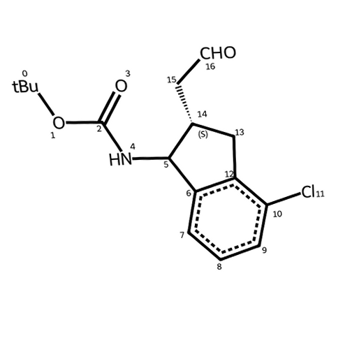 CC(C)(C)OC(=O)NC1c2cccc(Cl)c2C[C@H]1CC=O